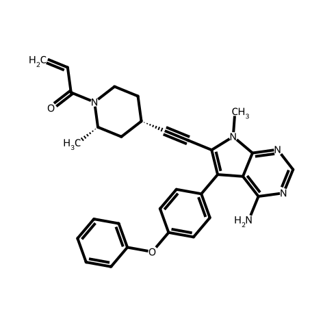 C=CC(=O)N1CC[C@H](C#Cc2c(-c3ccc(Oc4ccccc4)cc3)c3c(N)ncnc3n2C)C[C@@H]1C